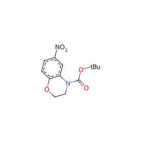 CC(C)(C)OC(=O)N1CCOc2ccc([N+](=O)[O-])cc21